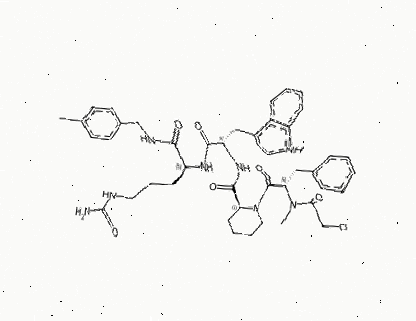 Cc1ccc(CNC(=O)[C@H](CCCNC(N)=O)NC(=O)[C@H](Cc2c[nH]c3ccccc23)NC(=O)[C@@H]2CCCCN2C(=O)[C@H](Cc2ccccc2)N(C)C(=O)CCl)cc1